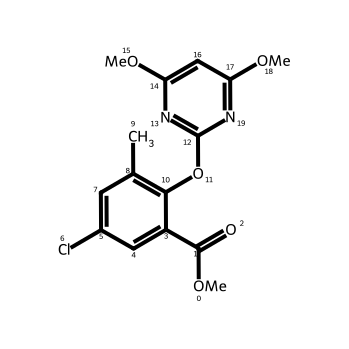 COC(=O)c1cc(Cl)cc(C)c1Oc1nc(OC)cc(OC)n1